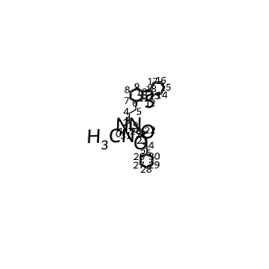 Cc1nc(CCc2cccc3c2sc2ccccc23)nc(C(=O)OCc2ccccc2)n1